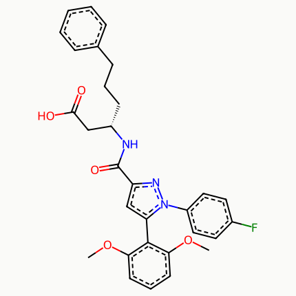 COc1cccc(OC)c1-c1cc(C(=O)N[C@@H](CCCc2ccccc2)CC(=O)O)nn1-c1ccc(F)cc1